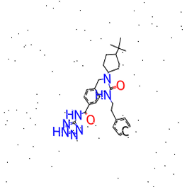 CC(C)(C)C1CCC(N(Cc2ccc(C(=O)Nc3nn[nH]n3)cc2)C(=O)NCCc2ccccc2)CC1